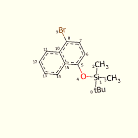 CC(C)(C)[Si](C)(C)Oc1ccc(Br)c2ccccc12